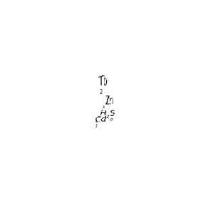 S.[Cd].[Tb].[Zn]